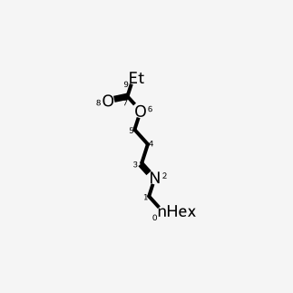 CCCCCCCN=CCCOC(=O)CC